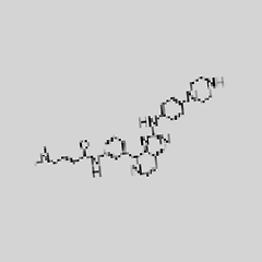 CN(C)CC=CC(=O)Nc1cccc(-c2nccc3cnc(Nc4ccc(N5CCNCC5)cc4)nc23)c1